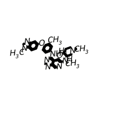 Cc1cc(Nc2ncnc3cnc4c(c23)O[C@@H]2CCN(C)C[C@H]2N4C)ccc1Oc1ccc2c(c1)ncn2C